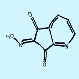 O=c1c(=NO)c(=O)c2ncccc12